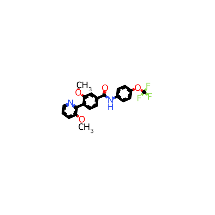 COc1cc(C(=O)Nc2ccc(OC(F)(F)F)cc2)ccc1-c1ncccc1OC